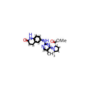 COC(=O)[C@@H]1CCCN1c1nc(Nc2ccc3c(c2)CCC(=O)N3)ncc1C